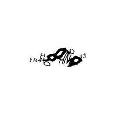 O=C(NO)c1ccc2ccc(C(=O)Nc3cccc(Cl)c3)cc2c1